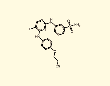 N#CCCOc1ccc(Nc2nc(Nc3cccc(S(N)(=O)=O)c3)ncc2F)cc1